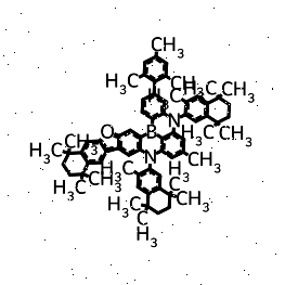 Cc1cc(C)c(-c2ccc3c(c2)N(c2cc4c(cc2C)C(C)(C)CCC4(C)C)c2cc(C)cc4c2B3c2cc3oc5cc6c(cc5c3cc2N4c2cc3c(cc2C)C(C)(C)CCC3(C)C)C(C)(C)CCC6(C)C)c(C)c1